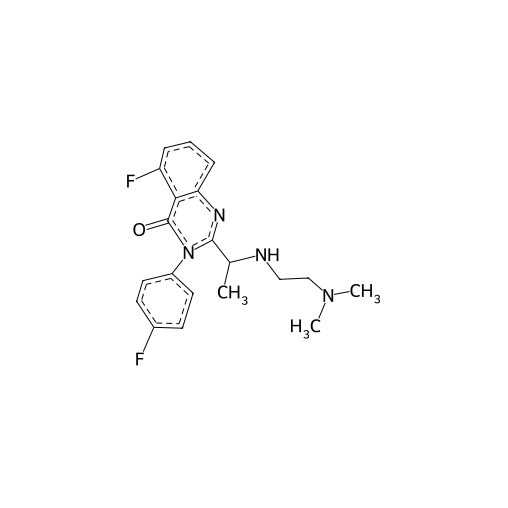 CC(NCCN(C)C)c1nc2cccc(F)c2c(=O)n1-c1ccc(F)cc1